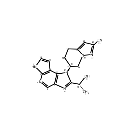 C[C@@H](O)c1nc2cnc3[nH]ccc3c2n1[C@H]1CCc2cc(C#N)nn2C1